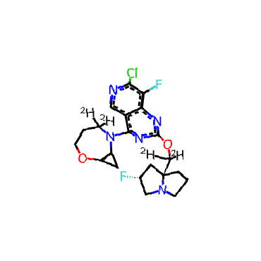 [2H]C1([2H])CCOC2CC2N1c1nc(OC([2H])([2H])[C@@]23CCCN2C[C@H](F)C3)nc2c(F)c(Cl)ncc12